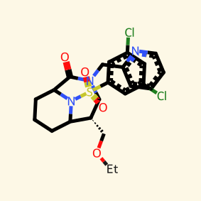 CCOC[C@H]1CN(Cc2ccccn2)C(=O)C2CCCC1N2S(=O)(=O)c1cc(Cl)cc(Cl)c1